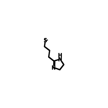 [S]CCCC1=NCCN1